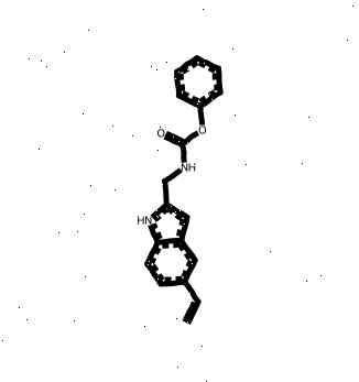 C=Cc1ccc2[nH]c(CNC(=O)Oc3ccccc3)cc2c1